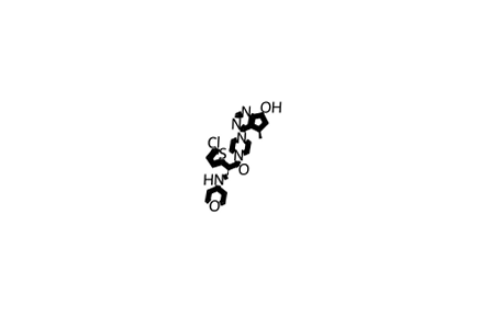 C[C@@H]1C[C@H](O)c2ncnc(N3CCN(C(=O)[C@H](CNC4CCOCC4)c4ccc(Cl)s4)CC3)c21